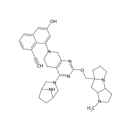 C#Cc1cccc2cc(O)cc(N3CCc4c(nc(OCC56CCCN5C5CCN(C)C5C6)nc4N4CC5CCC(C4)N5)C3)c12